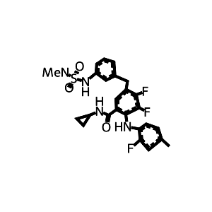 CNS(=O)(=O)Nc1cccc(Cc2cc(C(=O)NC3CC3)c(Nc3ccc(C)cc3F)c(F)c2F)c1